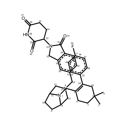 CC1(C)CCC(CN2C3CCC2CN(Cc2ccc4c(c2)CN(C2CCC(=O)NC2=O)C4=O)C3)=C(c2ccc(F)cc2)C1